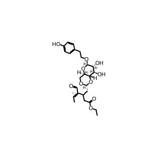 C/C=C(/C=O)C(CC(=O)OCC)C[C@@H]1OC[C@H]2O[C@@H](OCCc3ccc(O)cc3)[C@H](O)[C@@H](O)[C@@H]2O1